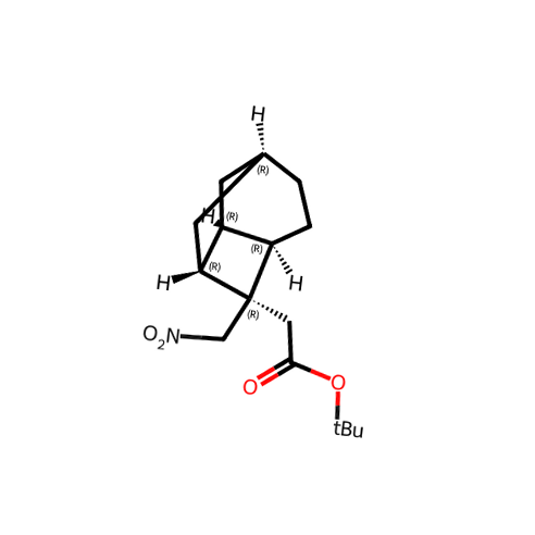 CC(C)(C)OC(=O)C[C@@]1(C[N+](=O)[O-])[C@@H]2CC[C@@H]3C[C@H]2[C@H]1C3